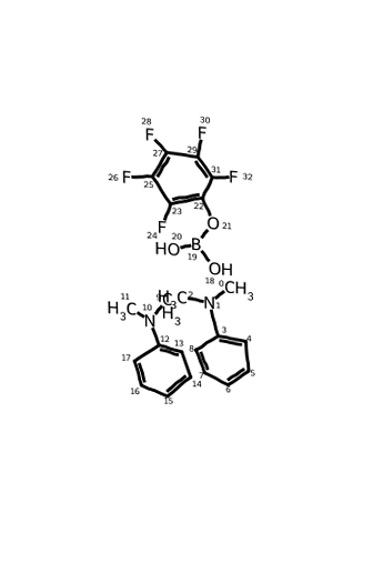 CN(C)c1ccccc1.CN(C)c1ccccc1.OB(O)Oc1c(F)c(F)c(F)c(F)c1F